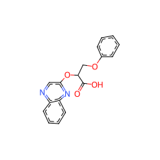 O=C(O)C(COc1ccccc1)Oc1cnc2ccccc2n1